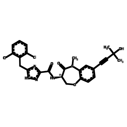 CN1C(=O)[C@H](NC(=O)c2n[nH]c(Cc3c(Cl)cccc3Cl)n2)COc2ccc(C#CC(C)(C)O)cc21